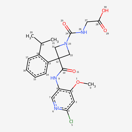 COc1cc(Cl)ncc1NC(=O)C1(c2ccccc2C(C)C)CN(C(=O)NCC(=O)O)C1